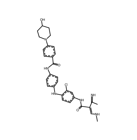 CN/C=C(\C(C)=N)C(=O)Nc1ccc(Nc2ccc(NC(=O)c3ccc(N4CCC(O)CC4)cc3)cc2)c(Cl)c1